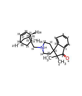 CC1(C)C(=O)c2ccccc2C12CCN(C[C@H]1C[C@@H]3C=C[C@@H]1CC3)CC2